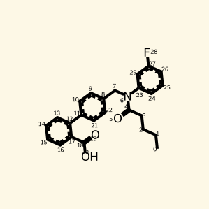 CCCCC(=O)N(Cc1ccc(-c2ccccc2C(=O)O)cc1)c1cccc(F)c1